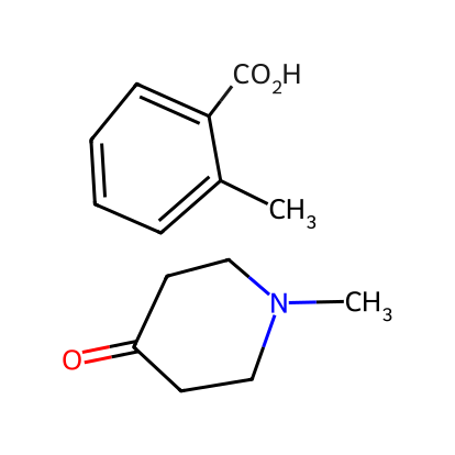 CN1CCC(=O)CC1.Cc1ccccc1C(=O)O